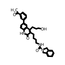 CC(=O)c1cccc(-c2ccc3[nH]c(=O)c(CCCCNC(=O)N4Cc5ccccc5C4)c(CCCO)c3c2)c1